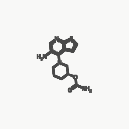 NC(=O)O[C@H]1CCCN(c2c(N)cnc3sccc23)C1